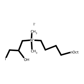 CCCCCCCCCCCC[N+](C)(C)CC(O)CI.[I-]